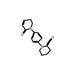 O=C=C1CCCCN1c1ccc(N2CCC=CC2=O)cc1